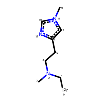 CC(C)CN(C)CCc1cn(C)cn1